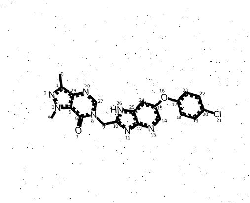 Cc1nn(C)c2c(=O)n(Cc3nc4ncc(Oc5ccc(Cl)cc5)cc4[nH]3)cnc12